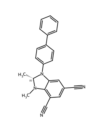 C[C@H]1N(C)c2c(C#N)cc(C#N)cc2N1c1ccc(-c2ccccc2)cc1